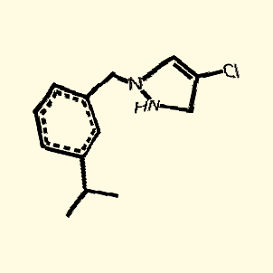 CC(C)c1cccc(CN2C=C(Cl)CN2)c1